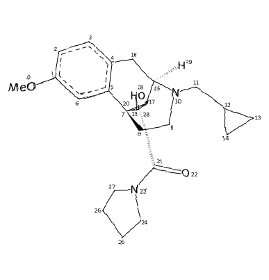 COc1ccc2c(c1)[C@]13CCN(CC4CC4)[C@H](C2)[C@]1(O)C[C@@H](C(=O)N1CCCC1)C3